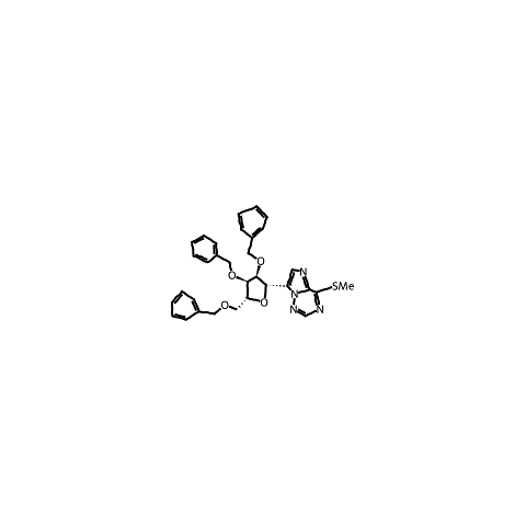 CSc1ncnn2c([C@@H]3O[C@H](COCc4ccccc4)[C@@H](OCc4ccccc4)[C@H]3OCc3ccccc3)cnc12